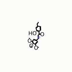 CCc1ccc(C(=O)/C=C/c2cc(OC)c(OC)c(OC)c2)c(O)c1